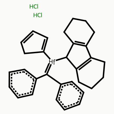 C1=CC[C]([Hf](=[C](c2ccccc2)c2ccccc2)[CH]2C3=C(CCCC3)C3=C2CCCC3)=C1.Cl.Cl